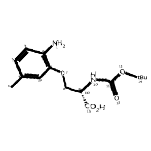 Cc1ccc(N)c(OC[C@H](NC(=O)OC(C)(C)C)C(=O)O)c1